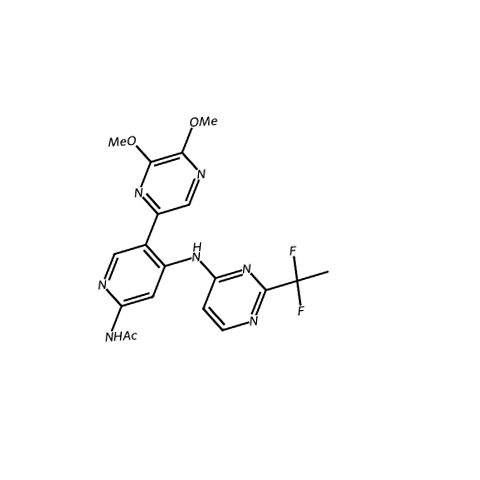 COc1ncc(-c2cnc(NC(C)=O)cc2Nc2ccnc(C(C)(F)F)n2)nc1OC